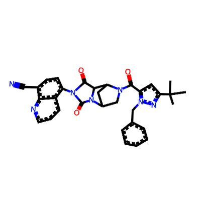 CC(C)(C)c1cc(C(=O)N2CC3CC2C2C(=O)N(c4ccc(C#N)c5ncccc45)C(=O)N32)n(Cc2ccccc2)n1